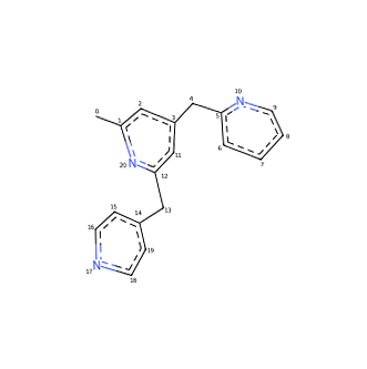 Cc1cc(Cc2ccccn2)cc(Cc2ccncc2)n1